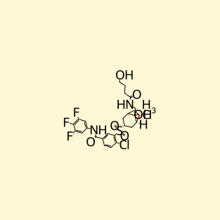 C[C@H]1CC2C[C@@H](S(=O)(=O)c3cc(C(=O)Nc4cc(F)c(F)c(F)c4)ccc3Cl)C[C@H]1[C@@]2(O)CNC(=O)CCCO